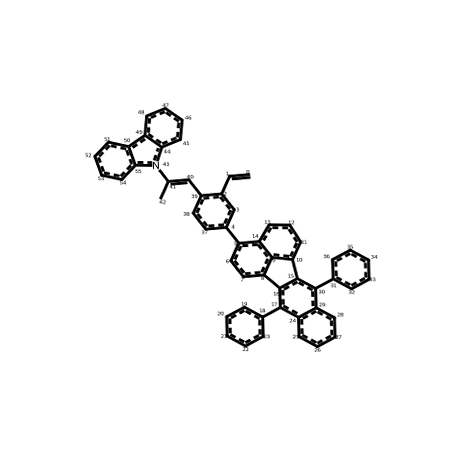 C=Cc1cc(-c2ccc3c4c(cccc24)-c2c-3c(-c3ccccc3)c3ccccc3c2-c2ccccc2)ccc1/C=C(\C)n1c2ccccc2c2ccccc21